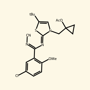 COc1ccc(Cl)cc1C(=NC#N)/N=c1\sc(C(C)(C)C)cn1CC1(OC(C)=O)CC1